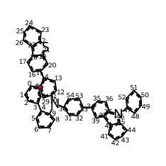 c1ccc(-c2ccccc2N(c2ccc(-c3ccc4c(c3)sc3ccccc34)cc2)c2ccc(-c3ccc4c(c3)c3ccccc3n4-c3ccccc3)cc2)cc1